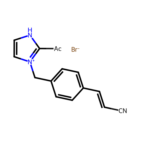 CC(=O)c1[nH]cc[n+]1Cc1ccc(C=CC#N)cc1.[Br-]